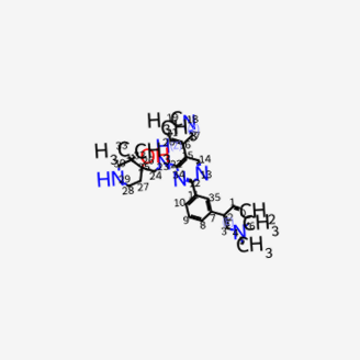 C=C/C(=C\N(C)C)c1cccc(-c2ncc(C(/C=N\C)=C/C)c(NCC3(O)CCNCC3(C)C)n2)c1